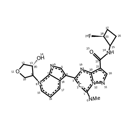 CNc1cc(-c2cnc3n(C4COC[C@@H]4O)cccc2-3)nc2c(C(=O)NC3CC[C@@H]3F)cnn12